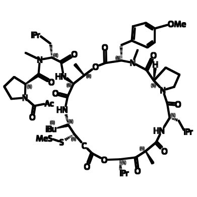 CC[C@H](C)[C@@H]1NC(=O)[C@@H](NC(=O)[C@@H](CC(C)C)N(C)C(=O)[C@@H]2CCCN2C(=O)C(C)=O)[C@@H](C)OC(=O)[C@H](Cc2ccc(OC)cc2)N(C)C(=O)[C@@H]2CCCN2C(=O)[C@H](CC(C)C)NC(=O)[C@@H](C)C(=O)[C@H](C(C)C)OC(=O)C[C@@H]1SSC